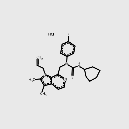 C=CCn1c(C)c(C)c2ccnc(CN(C(=S)NC3CCCCC3)c3ccc(F)cc3)c21.Cl